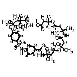 CC(C)(CCOC(C)(C)CC(=O)O)NC(=O)CC(C)(C)OCCC(C)(C)NC(=O)c1ccc(NS(=O)(=O)c2ccc(OC(C)(C)CC(C)(C)C(=O)O)cc2)nc1